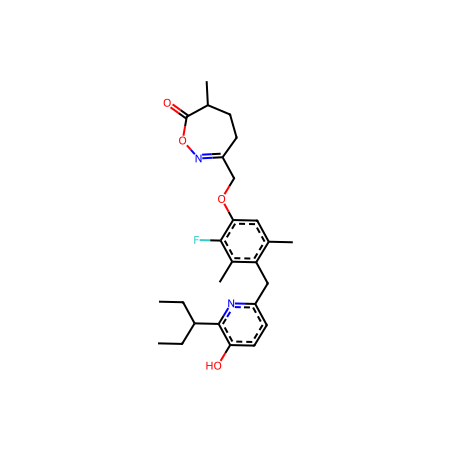 CCC(CC)c1nc(Cc2c(C)cc(OCC3=NOC(=O)C(C)CC3)c(F)c2C)ccc1O